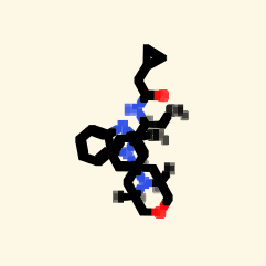 CC[C@H](NC(=O)CC1CC1)c1cccc(N2[C@@H]3COC[C@H]2C[C@H](n2c(C)nc4ccccc42)C3)c1